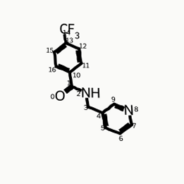 O=C(NCc1cccnc1)c1ccc(C(F)(F)F)cc1